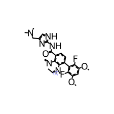 C=Nc1c(C(=O)Nc2nc(CN(C)C)c[nH]2)ccc(-c2c(F)c(OC)cc(OC)c2F)c1/N=C\C